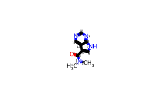 CN(C)C(=O)c1c[nH]c2ncncc12